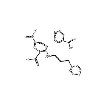 O=C(O)c1cc([N+](=O)[O-])ccc1NCCCc1ccccc1.O=C(O)c1ccncc1